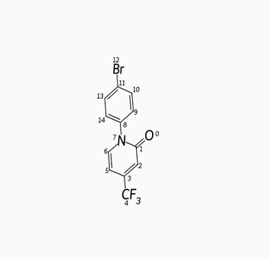 O=c1cc(C(F)(F)F)ccn1-c1ccc(Br)cc1